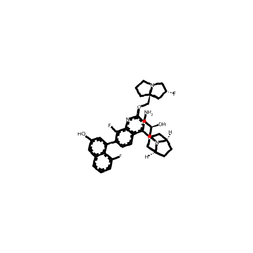 NC[C@@H](O)CN1[C@@H]2CC[C@H]1CN(c1nc(OC[C@@]34CCCN3C[C@H](F)C4)nc3c(F)c(-c4cc(O)cc5cccc(F)c45)ccc13)C2